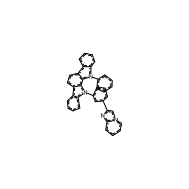 c1ccc(-n2c3ccccc3c3ccc4c5ccccc5n(-c5cccc(-c6cn7ccccc7n6)c5)c4c32)cc1